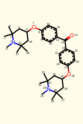 CN1C(C)(C)CC(Oc2ccc(C(=O)c3ccc(OC4CC(C)(C)N(C)C(C)(C)C4)cc3)cc2)CC1(C)C